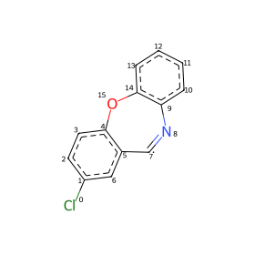 Clc1ccc2c(c1)[C]=Nc1ccccc1O2